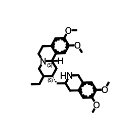 CCC1CN2CCc3cc(OC)c(OC)cc3[C@@H]2C[C@@H]1CC1Cc2cc(OC)c(OC)cc2CN1